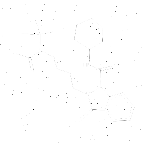 CC(C)(C)N(CCCCN1C(=O)c2ccccc2C1C(=O)NC1CCCCC1)C(=O)O